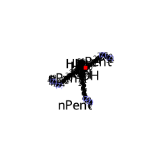 CCCCC/C=C\C=C/CCCCCCCCC(O)CN(CC(O)CCCCCCC/C=C\C/C=C\CCCCC)N(CC(O)CCCCCCC/C=C\C/C=C\CCCCC)C1=NCCN1